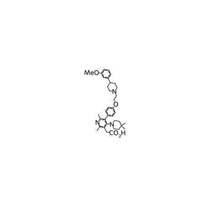 COc1cccc(C2CCN(CCOc3ccc(-c4c(C)nc(C)c(CC(=O)O)c4N4CCC(C)(C)CC4)cc3)CC2)c1